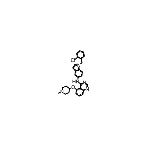 CN1CCC(Oc2cccc3ncnc(Nc4ccc5c(ccn5Cc5ccccc5Cl)c4)c23)CC1